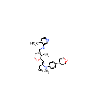 C=C/C(=C\C1=C(C)[C@H](CNc2cnccc2C(=O)O)CCO1)N(C)c1ccc(C2CCOCC2)cc1